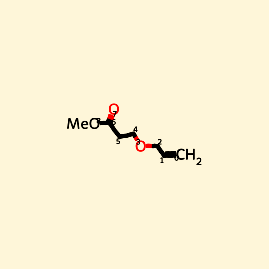 C=CCOCCC(=O)OC